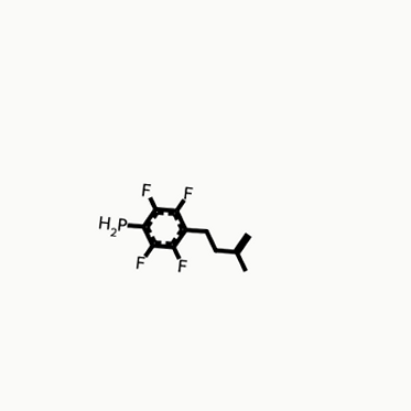 C=C(C)CCc1c(F)c(F)c(P)c(F)c1F